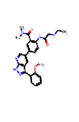 CCNCC(=O)Nc1ccc(-c2cnc3[nH]nc(-c4ccccc4OC)c3c2)cc1C(=O)N(C)C